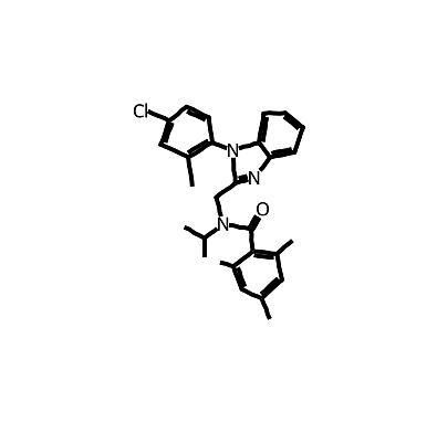 Cc1cc(C)c(C(=O)N(Cc2nc3ccccc3n2-c2ccc(Cl)cc2C)C(C)C)c(C)c1